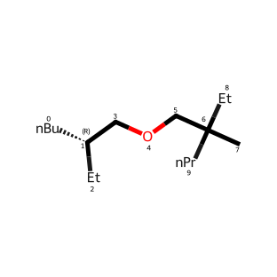 CCCC[C@@H](CC)COCC(C)(CC)CCC